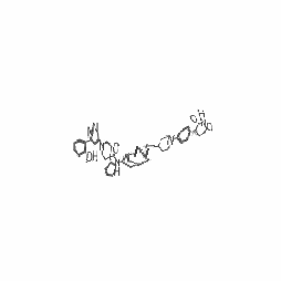 O=C1CC[C@H](c2ccc(N3CCC(CN4CC5CC(NC(=O)C6(c7ccccc7)CCN(c7cnnc(-c8ccccc8O)c7)CC6)C4C5)CC3)cc2)C(=O)N1